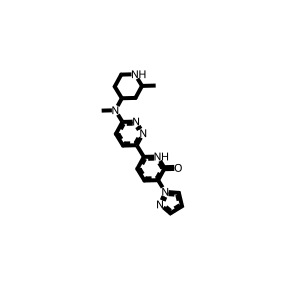 CC1CC(N(C)c2ccc(-c3ccc(-n4cccn4)c(=O)[nH]3)nn2)CCN1